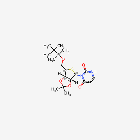 CC1(C)O[C@@H]2[C@H](O1)[C@@H](CO[Si](C)(C)C(C)(C)C)S[C@H]2n1c(=O)cc[nH]c1=O